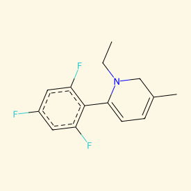 CCN1CC(C)=CC=C1c1c(F)cc(F)cc1F